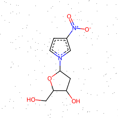 O=[N+]([O-])c1ccn(C2CC(O)C(CO)O2)c1